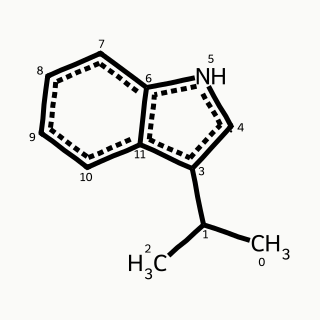 CC(C)c1[c][nH]c2ccccc12